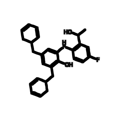 CC(O)c1cc(F)ccc1Pc1cc(CC2C=CC=CC2)cc(CC2C=CC=CC2)c1O